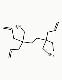 C=CCC(CC)(CN)CCC(CN)(CC=C)CC=C